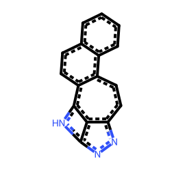 c1ccc2c(c1)ccc1c2ccc2nnc3[nH]c1c23